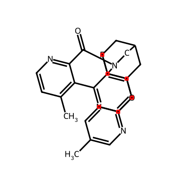 Cc1ccc(OC2CC3CCC2N(C(=O)c2nccc(C)c2-c2ncccc2F)C3)nc1